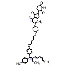 C=C\C=C/C=C/C(CC)=C(/c1ccc(O)cc1)c1ccc(OCCCCCN2CCN(C(=C)/C=C(/F)C3=CCN(C4CCC(=O)NC4=O)C3=O)CC2)cc1